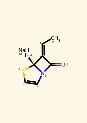 C/C=C1\C(=O)N2C=CS[C@H]12.[NaH]